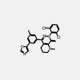 C=C1C2=C(CCCN2C)C(c2cc(C)cc(-c3cnco3)c2)=NN1c1c(Cl)cccc1Cl